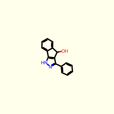 OC1c2ccccc2-c2[nH]nc(-c3ccccc3)c21